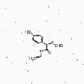 C=COC(=O)C(OC=O)c1ccc(O)cc1